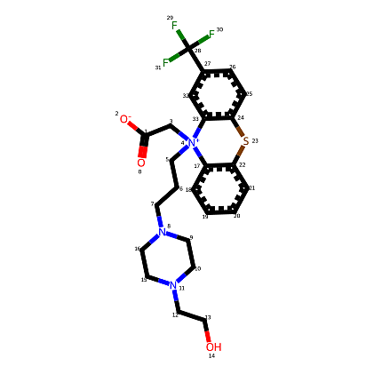 O=C([O-])C[N+]1(CCCN2CCN(CCO)CC2)c2ccccc2Sc2ccc(C(F)(F)F)cc21